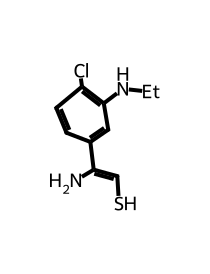 CCNc1cc(/C(N)=C/S)ccc1Cl